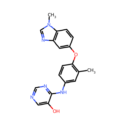 Cc1cc(Nc2ncncc2O)ccc1Oc1ccc2c(c1)ncn2C